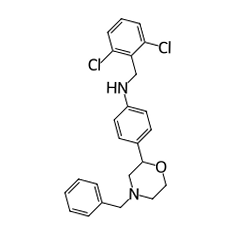 Clc1cccc(Cl)c1CNc1ccc(C2CN(Cc3ccccc3)CCO2)cc1